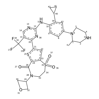 CC1CNCCN1c1ccc(Nc2ncc(C(F)(F)F)c(-c3cc4c(s3)C(=O)N(C3COC3)CCS4(=O)=O)n2)c(C2CC2)c1